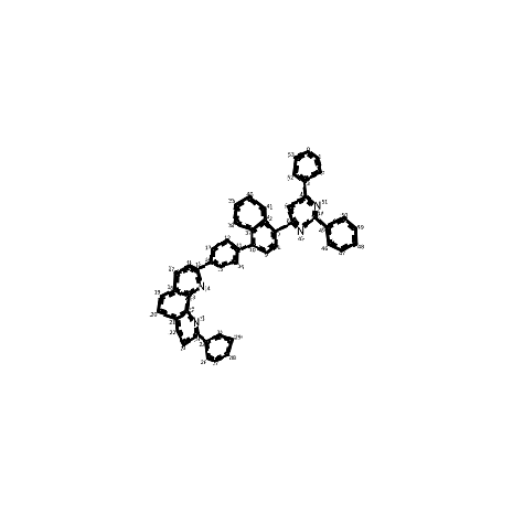 c1ccc(-c2cc(-c3ccc(-c4ccc(-c5ccc6ccc7ccc(-c8ccccc8)nc7c6n5)cc4)c4ccccc34)nc(-c3ccccc3)n2)cc1